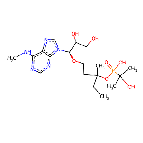 CCC(C)(CCO[C@H]([C@H](O)CO)n1cnc2c(NC)ncnc21)OP(=O)(O)C(C)(C)O